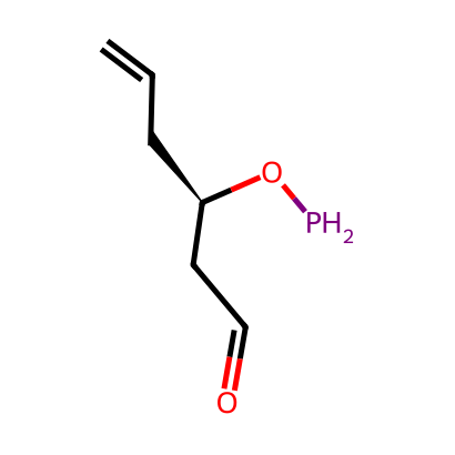 C=CC[C@H](CC=O)OP